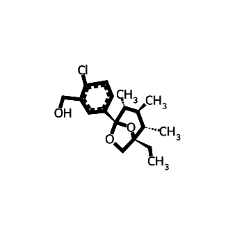 CC[C@@]12CO[C@@](c3ccc(Cl)c(CO)c3)(O1)[C@H](C)[C@@H](C)[C@@H]2C